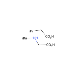 CC(C)CC(=O)O.CCC(C)NCC(=O)O